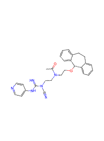 CC(=O)N(CCOC1c2ccccc2CCc2ccccc21)CCN(C#N)C(=N)Nc1ccncc1